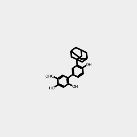 O=Cc1cc(-c2ccc(O)c(C34CC5CC(CC(C5)C3)C4)c2)c(O)cc1O